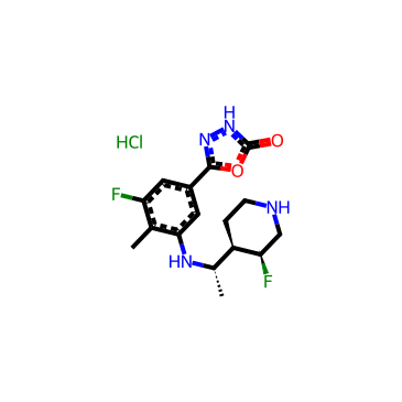 Cc1c(F)cc(-c2n[nH]c(=O)o2)cc1N[C@@H](C)[C@H]1CCNC[C@H]1F.Cl